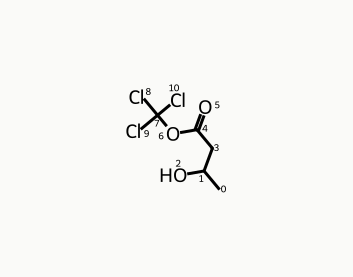 CC(O)CC(=O)OC(Cl)(Cl)Cl